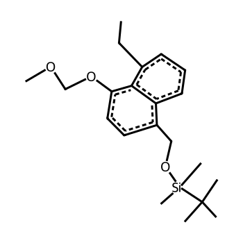 CCc1cccc2c(CO[Si](C)(C)C(C)(C)C)ccc(OCOC)c12